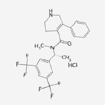 C[C@H](c1cc(C(F)(F)F)cc(C(F)(F)F)c1)N(C)C(=O)C1=C(c2ccccc2)CNCC1.Cl